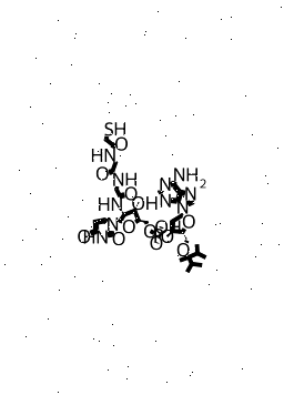 CC(C)C(C)(OC[C@H]1O[C@@H](n2cnc3c(N)ncnc32)C[C@@H]1OP(=O)(O)OC[C@H]1O[C@@H](n2ccc(=O)[nH]c2=O)[C@H](NC(=O)CNC(=O)CNC(=O)CS)[C@@H]1O)C(C)C